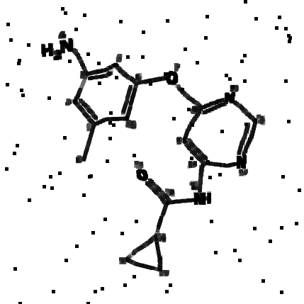 Cc1cc(N)cc(Oc2cc(NC(=O)C3CC3)ncn2)c1